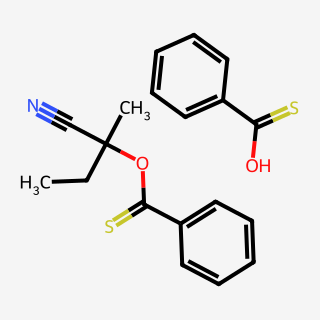 CCC(C)(C#N)OC(=S)c1ccccc1.OC(=S)c1ccccc1